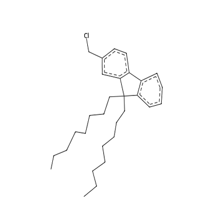 CCCCCCCCC1(CCCCCCCC)c2ccccc2-c2ccc(CCl)cc21